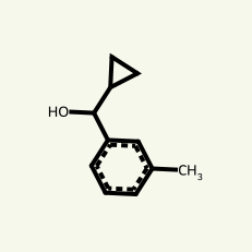 Cc1cccc(C(O)C2CC2)c1